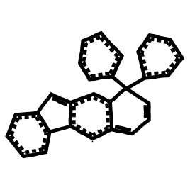 [c]1c2c(cc3c1=CC=CC3(c1ccccc1)c1ccccc1)=Cc1ccccc1-2